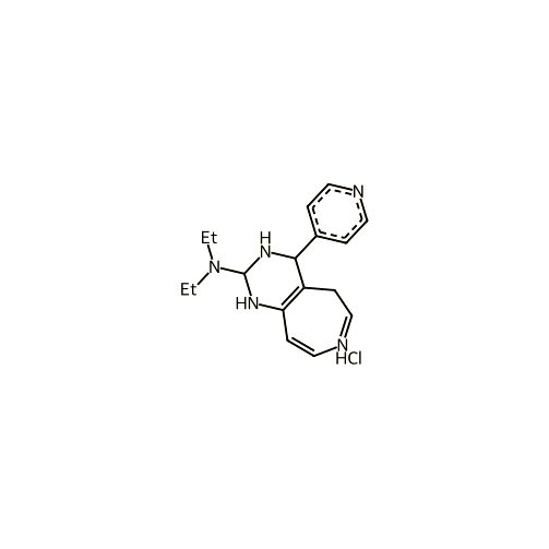 CCN(CC)C1NC2=C(CC=NC=C2)C(c2ccncc2)N1.Cl